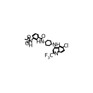 CS(=O)(=O)Nc1cccc(C(=O)N[C@H]2CC[C@@H](Nc3cc(C(F)(F)F)nc4ccc(Cl)cc34)CC2)c1